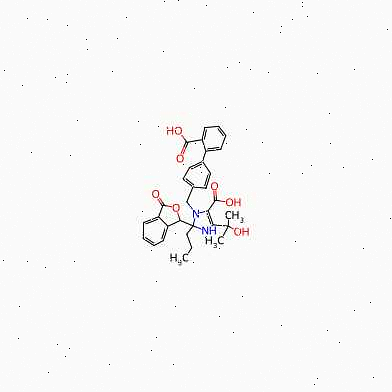 CCCC1(C2OC(=O)c3ccccc32)NC(C(C)(C)O)=C(C(=O)O)N1Cc1ccc(-c2ccccc2C(=O)O)cc1